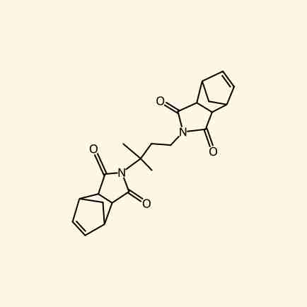 CC(C)(CCN1C(=O)C2C3C=CC(C3)C2C1=O)N1C(=O)C2C3C=CC(C3)C2C1=O